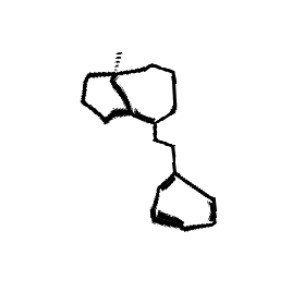 C[C@]12CCCC(CCc3ccccc3)=C1CCC2